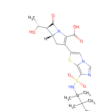 C[C@@H](O)[C@H]1C(=O)N2C(C(=O)O)=C(c3cn4cnc(S(=O)(=O)N[Si](C)(C)C(C)(C)C)c4s3)C[C@H]12